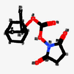 O=C(O[C@H]1CC2CCC1CC2)ON1C(=O)CCC1=O